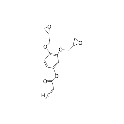 C=CC(=O)Oc1ccc(OCC2CO2)c(OCC2CO2)c1